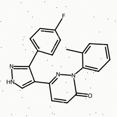 Cc1ccccc1-n1nc(-c2c[nH]nc2-c2ccc(F)cc2)ccc1=O